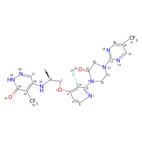 C[C@@H](COc1ccnc(N2CCN(c3ncc(C(F)(F)F)cn3)CC2=O)c1F)Nc1cn[nH]c(=O)c1C(F)(F)F